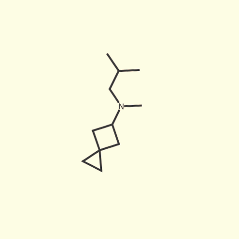 CC(C)CN(C)C1CC2(CC2)C1